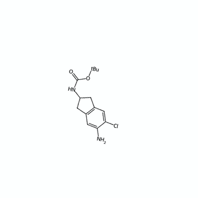 CC(C)(C)OC(=O)NC1Cc2cc(N)c(Cl)cc2C1